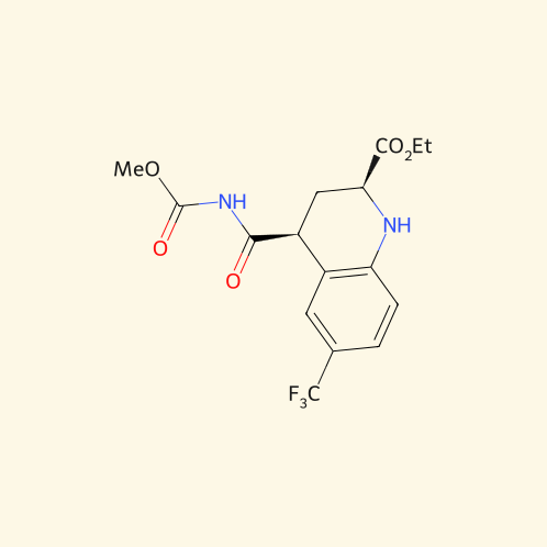 CCOC(=O)[C@@H]1C[C@H](C(=O)NC(=O)OC)c2cc(C(F)(F)F)ccc2N1